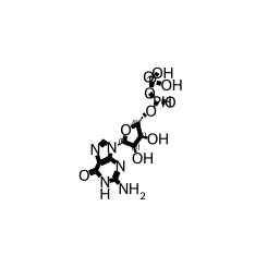 Nc1nc2c(ncn2[C@@H]2O[C@H](CO[PH](=O)OP(=O)(O)O)[C@@H](O)[C@H]2O)c(=O)[nH]1